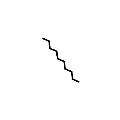 [CH2]CCCCCCC[CH]C